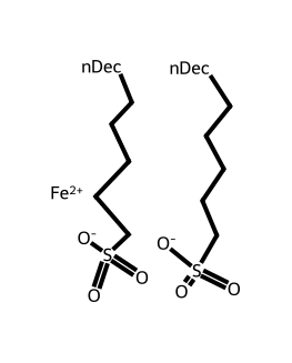 CCCCCCCCCCCCCCCS(=O)(=O)[O-].CCCCCCCCCCCCCCCS(=O)(=O)[O-].[Fe+2]